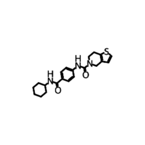 O=C(NC1CCCCC1)c1ccc(NC(=O)N2CCc3sccc3C2)cc1